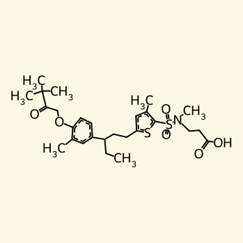 CCC(CCc1cc(C)c(S(=O)(=O)N(C)CCC(=O)O)s1)c1ccc(OCC(=O)C(C)(C)C)c(C)c1